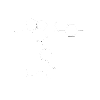 COc1ccc2oc(C(=O)Nc3ccc(Cl)cn3)c(NC(=O)c3ccc(C(=O)N(C)CCN(C)C)cc3)c2n1